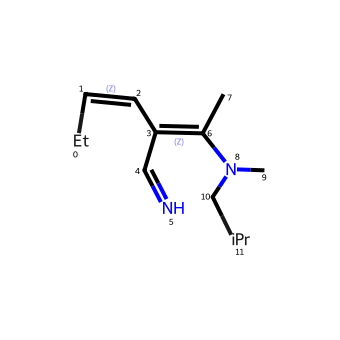 CC/C=C\C(C=N)=C(/C)N(C)CC(C)C